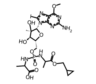 COc1nc(N)nc2c1nc(I)n2[C@@H]1O[C@H](COP(=O)(NC(C)C(=O)O)NC(C)C(=O)OCC2CC2)[C@@H](O)[C@@]1(C)O